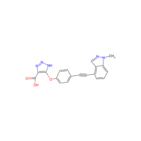 Cn1ncc2c(C#Cc3ccc(Oc4[nH]nnc4C(=O)O)cc3)cccc21